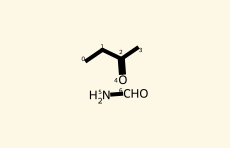 CCC(C)=O.NC=O